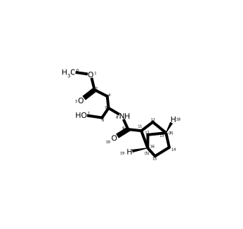 COC(=O)CC(CO)NC(=O)C1C[C@@H]2CC[C@H]1C2